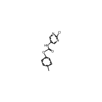 Cc1ccc(OC(=O)Nc2cnc(Cl)nc2)cc1